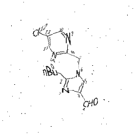 CCCCc1nc(C=O)cn1Cc1ncc(Cl)cn1